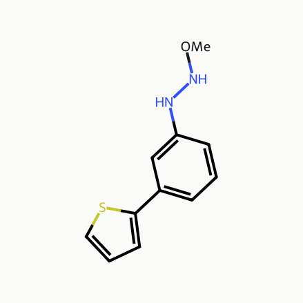 CONNc1cccc(-c2cccs2)c1